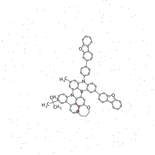 Cc1cc2c3c(c1)N(c1ccc(C(C)(C)C)cc1-c1ccccc1)c1cc4c(cc1B3c1cc(-c3ccc5c(c3)oc3ccccc35)ccc1N2c1ccc(-c2ccc3c(c2)oc2ccccc23)cc1)OCCCO4